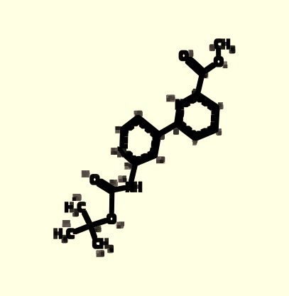 COC(=O)c1cccc(-c2ccnc(NC(=O)OC(C)(C)C)c2)n1